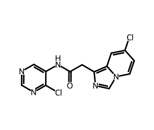 O=C(Cc1ncn2ccc(Cl)cc12)Nc1cncnc1Cl